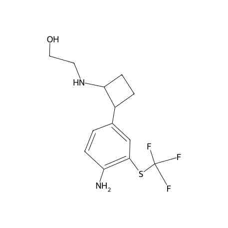 Nc1ccc(C2CCC2NCCO)cc1SC(F)(F)F